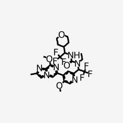 CCN(C(=O)NC(C1CCOCC1)C(F)(F)F)C(c1cc(-c2cn3cc(C)nc3c(OC)n2)c(OC)cn1)C(F)(F)F